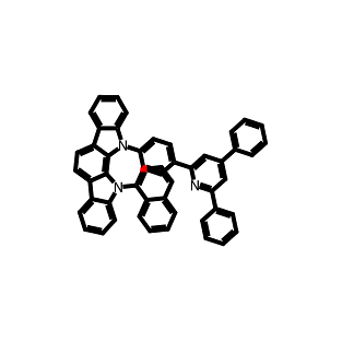 c1ccc(-c2cc(-c3ccccc3)nc(-c3ccc(-n4c5ccccc5c5ccc6c7ccccc7n(-c7cccc8ccccc78)c6c54)cc3)c2)cc1